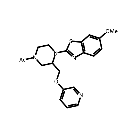 COc1ccc2nc(N3CCN(C(C)=O)CC3COc3cccnc3)sc2c1